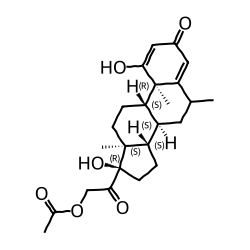 CC(=O)OCC(=O)[C@@]1(O)CC[C@H]2[C@@H]3CC(C)C4=CC(=O)C=C(O)[C@]4(C)[C@H]3CC[C@@]21C